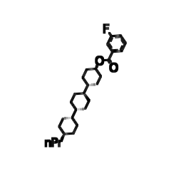 CCC[C@H]1CC[C@H]([C@H]2CC[C@H]([C@H]3CC[C@H](OC(=O)c4cccc(F)c4)CC3)CC2)CC1